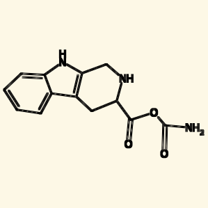 NC(=O)OC(=O)C1Cc2c([nH]c3ccccc23)CN1